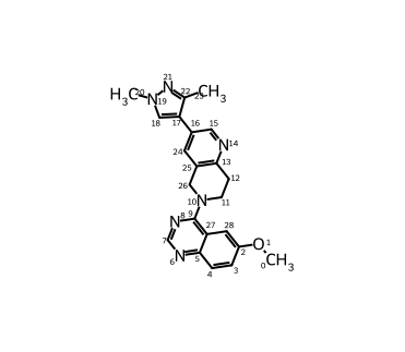 COc1ccc2ncnc(N3CCc4ncc(-c5cn(C)nc5C)cc4C3)c2c1